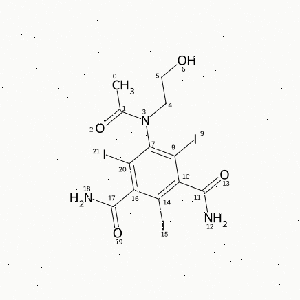 CC(=O)N(CCO)c1c(I)c(C(N)=O)c(I)c(C(N)=O)c1I